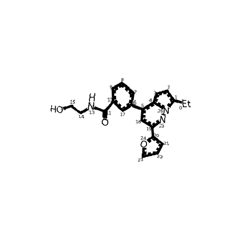 CCc1ccc2c(-c3cccc(C(=O)NCCO)c3)cc(-c3ccco3)nn12